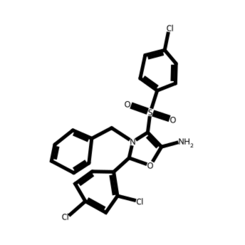 NC1=C(S(=O)(=O)c2ccc(Cl)cc2)N(Cc2ccccc2)C(c2ccc(Cl)cc2Cl)O1